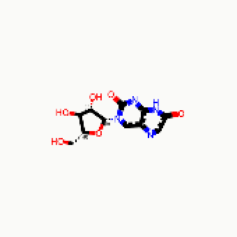 O=c1cnc2cn([C@@H]3O[C@H](CO)C(O)[C@@H]3O)c(=O)nc2[nH]1